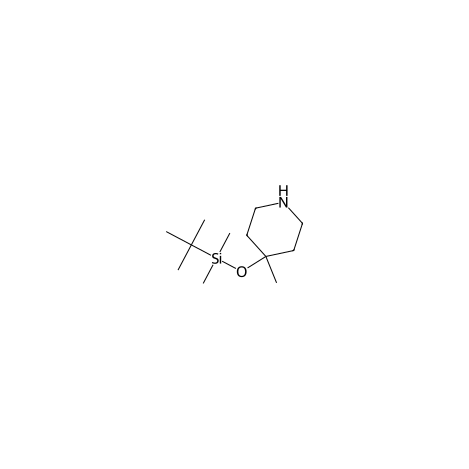 CC1(O[Si](C)(C)C(C)(C)C)CCNCC1